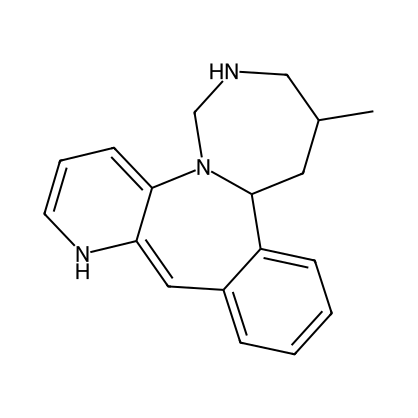 CC1CNCN2C3=CC=CNC3=Cc3ccccc3C2C1